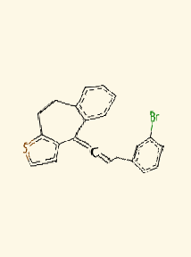 Brc1cccc(C=C=C2c3ccccc3CCc3sccc32)c1